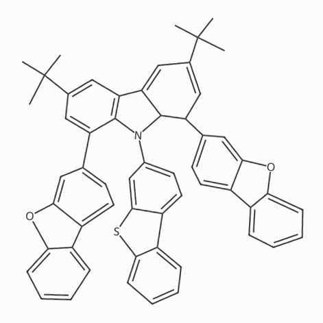 CC(C)(C)C1=CC(c2ccc3c(c2)oc2ccccc23)C2C(=C1)c1cc(C(C)(C)C)cc(-c3ccc4c(c3)oc3ccccc34)c1N2c1ccc2c(c1)sc1ccccc12